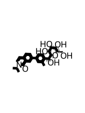 Cc1cc(-c2ccc3ccn(C(C)C)c(=O)c3c2)ccc1[C@@H](O)[C@H]1O[C@H](CO)[C@@H](O)[C@H](O)[C@@H]1O